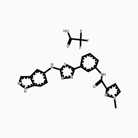 Cn1ccc(C(=O)Nc2cccc(-c3nnc(Nc4ccc5[nH]ncc5c4)s3)c2)n1.O=C(O)C(F)(F)F